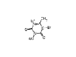 CCC(C)n1c(=O)nc(C)[c-](Br)c1=O.[Li+]